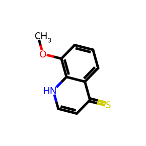 COc1cccc2c(=S)cc[nH]c12